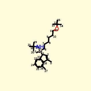 CC1=CC([Si](C)(CCCCCCOC(C)(C)C)NC(C)(C)C)c2cccc(C)c21